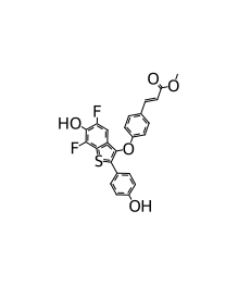 COC(=O)C=Cc1ccc(Oc2c(-c3ccc(O)cc3)sc3c(F)c(O)c(F)cc23)cc1